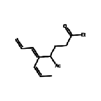 C=C/C=C(\C=C/C)C(CCC(=O)CC)C(C)=O